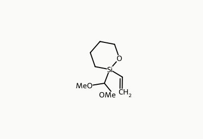 C=C[Si]1(C(OC)OC)CCCCO1